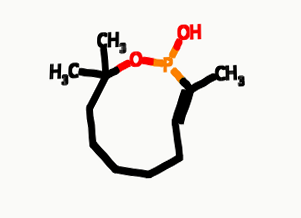 C/C1=C\CCCCCC(C)(C)OP1O